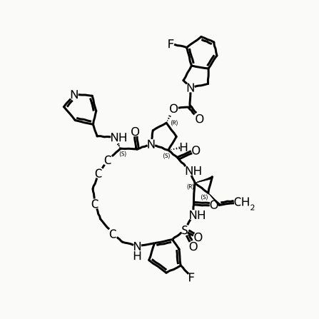 C=C[C@@H]1C[C@@]12NC(=O)[C@@H]1C[C@@H](OC(=O)N3Cc4cccc(F)c4C3)CN1C(=O)[C@@H](NCc1ccncc1)CCCCCCCNc1ccc(F)cc1S(=O)(=O)NC2=O